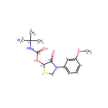 COc1cccc(N2CSC(OC(=O)NC(C)(C)C)C2=O)c1